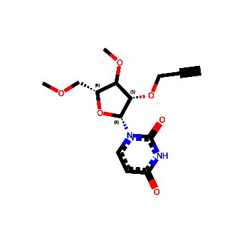 C#CCO[C@H]1C(OC)[C@@H](COC)O[C@H]1n1ccc(=O)[nH]c1=O